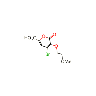 COCCOc1c(Br)cc(C(=O)O)oc1=O